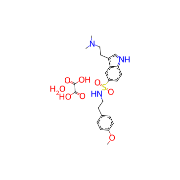 COc1ccc(CCNS(=O)(=O)c2ccc3[nH]cc(CCN(C)C)c3c2)cc1.O.O=C(O)C(=O)O